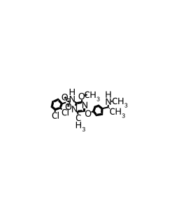 CN[C@H](C)c1ccc(Oc2nc(OC)c(NS(=O)(=O)c3cccc(Cl)c3Cl)nc2C)cc1